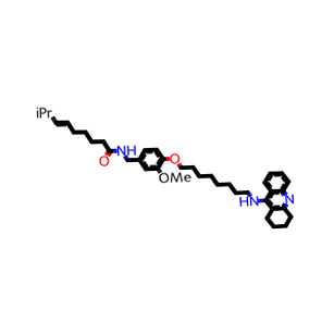 COc1cc(CNC(=O)CCCC/C=C/C(C)C)ccc1OCCCCCCCCNc1c2c(nc3ccccc13)CCCC2